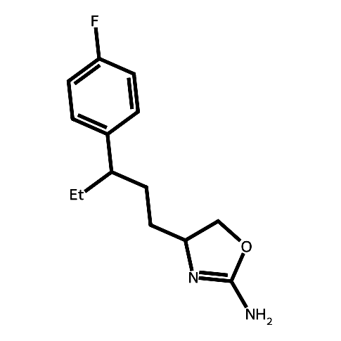 CCC(CCC1COC(N)=N1)c1ccc(F)cc1